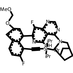 COCOc1cc(-c2nc(O)c3c(N4CC5CCC(C5)C4)ncnc3c2F)c2c(C#C[Si](C(C)C)(C(C)C)C(C)C)c(F)ccc2c1